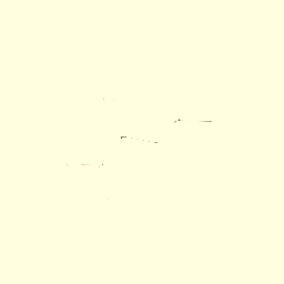 CCC(=O)CC(=O)C(=O)OC